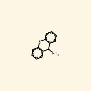 NC1c2ccccc2Sc2ccccc21